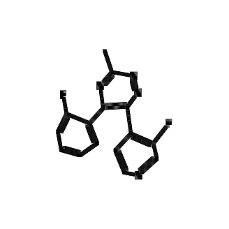 Cc1nnc(-c2ccncc2F)c(-c2ccccc2F)n1